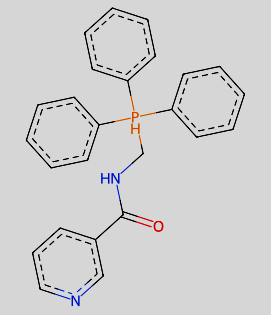 O=C(NC[PH](c1ccccc1)(c1ccccc1)c1ccccc1)c1cccnc1